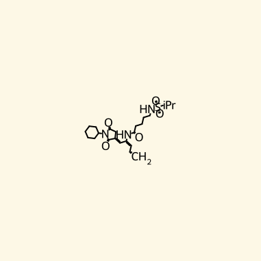 C=C/C=C(\C=C1/CC(=O)N(C2CCCCC2)C1=O)NC(=O)CCCCNS(=O)(=O)C(C)C